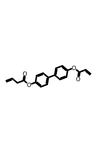 C=CCC(=O)Oc1ccc(-c2ccc(OC(=O)C=C)cc2)cc1